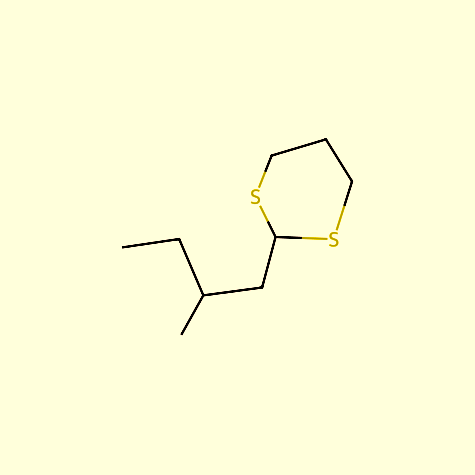 CCC(C)CC1SCCCS1